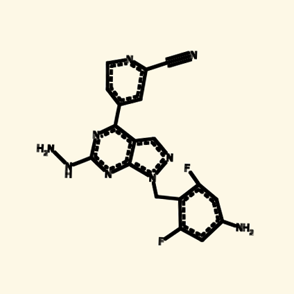 N#Cc1cc(-c2nc(NN)nc3c2cnn3Cc2c(F)cc(N)cc2F)ccn1